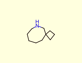 C1CCNCC2(CC1)CCC2